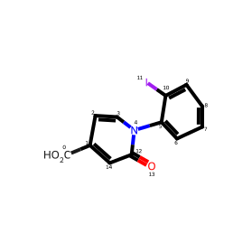 O=C(O)c1ccn(-c2ccccc2I)c(=O)c1